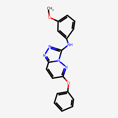 COc1cccc(Nc2nnc3ccc(Oc4ccccc4)nn23)c1